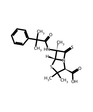 CC(C)(C(=O)N[C@@]1(C)C(=S)N2[C@@H](C(=O)O)C(C)(C)S[C@@H]21)c1ccccc1